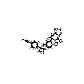 CC#Cc1ccc(C2(Nc3ccc(Cl)c(C4(C)CC(=O)N(C)C(=N)N4)c3)COC2)nc1